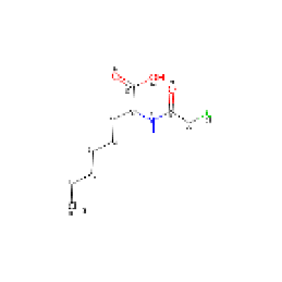 CCCCCCC(NC(=O)CCl)C(=O)O